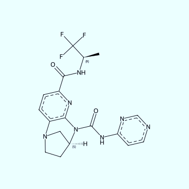 C[C@@H](NC(=O)c1ccc2c(n1)N(C(=O)Nc1ccncn1)[C@H]1CCN2C1)C(F)(F)F